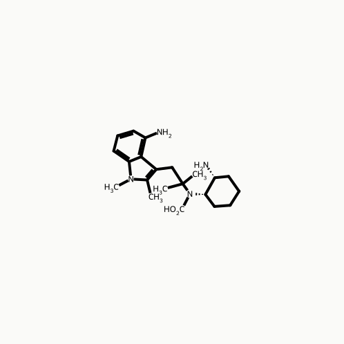 Cc1c(CC(C)(C)N(C(=O)O)[C@H]2CCCC[C@H]2N)c2c(N)cccc2n1C